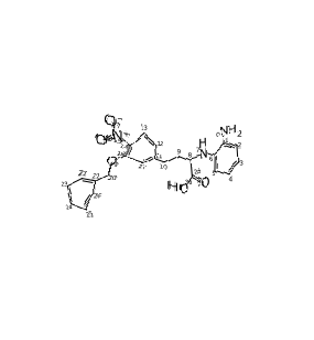 Nc1ccccc1NC(CCc1ccc([N+](=O)[O-])c(OCc2ccccc2)c1)C(=O)O